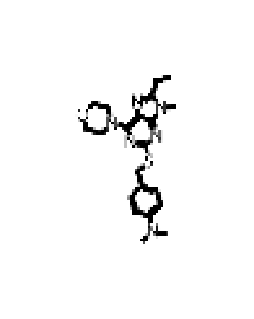 CCc1nc2c(N3CCOCC3)nc(SCc3ccc(N(C)C)cc3)nc2n1C